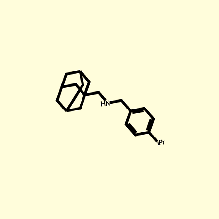 CC(C)c1ccc(CNCC23CC4CC(CC(C4)C2)C3)cc1